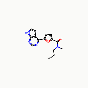 CN(CCC#N)C(=O)c1ccc(-c2ncnc3[nH]ccc23)o1